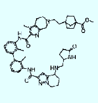 COC(=O)C12CCC(CCN3CCc4c(nc(C(=O)Nc5cccc(-c6cccc(NC(=O)c7cc8n(n7)CCCC8NCC7CCC(=O)N7)c6C)c5C)n4C)C3)(CC1)C2